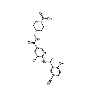 COc1ccc(C#N)cc1C(C)Nc1ncc(C(=O)NC[C@H]2CC[C@H](C(=O)O)CC2)cc1Cl